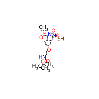 CCOC(=O)C1c2ccc(OCCNC(=O)OC(C)(C)C)cc2C2CN1C(=O)N2OS